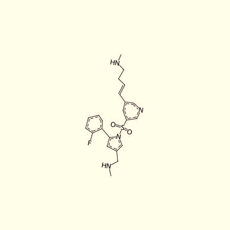 CNCC/C=C/c1cncc(S(=O)(=O)n2cc(CNC)cc2-c2ccccc2F)c1